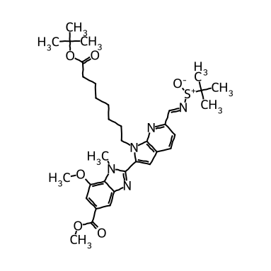 COC(=O)c1cc(OC)c2c(c1)nc(-c1cc3ccc(/C=N/[S+]([O-])C(C)(C)C)nc3n1CCCCCCCC(=O)OC(C)(C)C)n2C